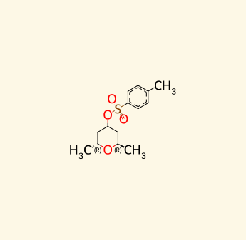 Cc1ccc(S(=O)(=O)OC2C[C@@H](C)O[C@H](C)C2)cc1